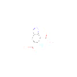 COC(=O)c1c(F)c(C(=O)O)cc2cn[nH]c12